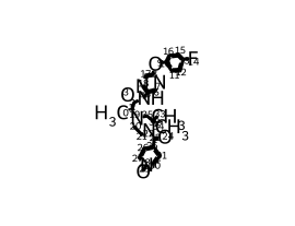 C[C@@H](C(=O)Nc1cnc(Oc2ccc(F)cc2)cn1)N1CCN(C(=O)c2cc[n+]([O-])cc2)C(C)(C)C1